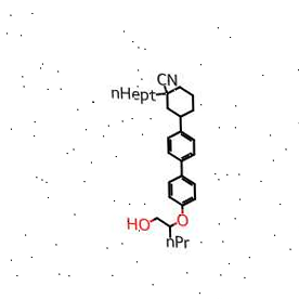 CCCCCCCC1(C#N)CCCC(c2ccc(-c3ccc(OC(CO)CCC)cc3)cc2)C1